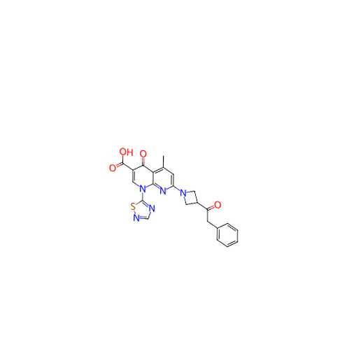 Cc1cc(N2CC(C(=O)Cc3ccccc3)C2)nc2c1c(=O)c(C(=O)O)cn2-c1ncns1